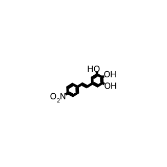 O=[N+]([O-])c1ccc(C=Cc2cc(O)c(O)c(O)c2)cc1